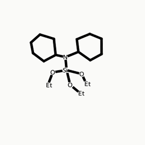 CCO[Si](OCC)(OCC)N(C1CCCCC1)C1CCCCC1